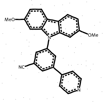 COc1ccc2c3ccc(OC)cc3n(-c3cc(C#N)cc(-c4ccncc4)c3)c2c1